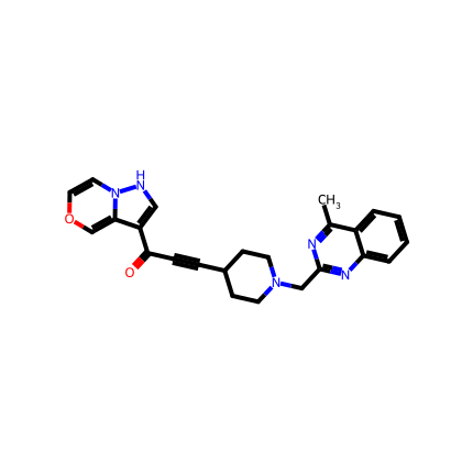 Cc1nc(CN2CCC(C#CC(=O)C3=CNN4C=COC=C34)CC2)nc2ccccc12